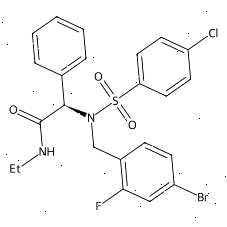 CCNC(=O)[C@@H](c1ccccc1)N(Cc1ccc(Br)cc1F)S(=O)(=O)c1ccc(Cl)cc1